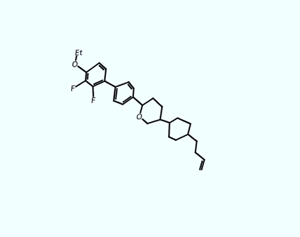 C=CCCC1CCC(C2CCC(c3ccc(-c4ccc(OCC)c(F)c4F)cc3)OC2)CC1